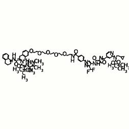 CN[C@@H](C)C(=O)N[C@H](C(=O)N1Cc2cc(OCCOCCOCCOCCOCCNC(=O)c3ccc(-n4cc(NC(=O)c5coc(-c6ccnc(N(CC7CC7)C(=O)OC(C)(C)C)c6)n5)c(C(F)F)n4)cc3)ccc2C[C@H]1C(=O)N[C@@H]1CCCc2ccccc21)C(C)(C)C